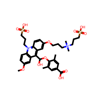 COc1ccc2c(c1)c(C(O)Oc1c(C)cc(C(=O)O)cc1C)c1cc(OCCC[N+](C)(C)CCCS(=O)(=O)O)ccc1[n+]2CCCS(=O)(=O)O